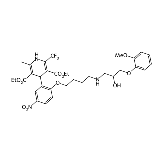 CCOC(=O)C1=C(C)NC(C(F)(F)F)=C(C(=O)OCC)C1c1cc([N+](=O)[O-])ccc1OCCCCNCC(O)COc1ccccc1OC